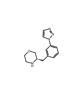 c1cc(C[C@@H]2COCCN2)cc(-n2ccnn2)c1